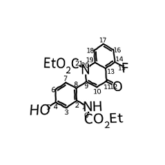 CCOC(=O)Nc1cc(O)ccc1-c1cc(=O)c2c(F)cccc2n1C(=O)OCC